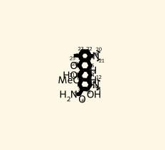 CO[C@@]12CC(C(N)=O)=C(O)[C@@H](N(C)C)[C@@H]1C[C@@H]1Cc3c(N(C)C)ccc(C)c3C(=O)C1=C2O